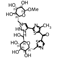 CO[C@H]1O[C@H](CN2C=C(c3nc(C)c(C(=O)c4cnc(C[C@H]5O[C@H](CO)[C@@H](O)[C@H](O)[C@@H]5O)s4)s3)NN2)[C@@H](O)[C@H](O)[C@@H]1O